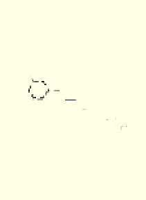 O=CNCCCCCCc1cccc(C(F)(F)F)c1